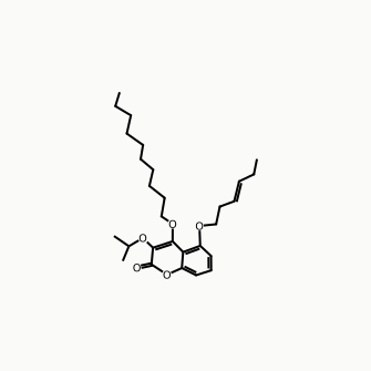 CC/C=C/CCOc1cccc2oc(=O)c(OC(C)C)c(OCCCCCCCCCC)c12